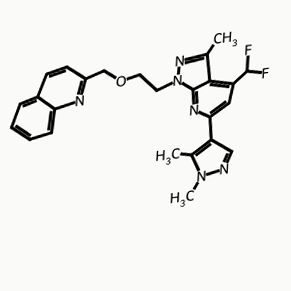 Cc1nn(CCOCc2ccc3ccccc3n2)c2nc(-c3cnn(C)c3C)cc(C(F)F)c12